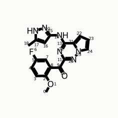 COc1ccc(F)cc1C(=O)c1nc(Nc2cc(C)[nH]n2)c2cccn2n1